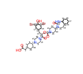 O=C(O)C[C@H]1CC[C@H](N2CCN(C(=O)[C@@H](Cc3cc(Br)c(O)c(Br)c3)OC(=O)N3CCC(N4CCc5ccccc5NC4=O)CC3)CC2)CC1